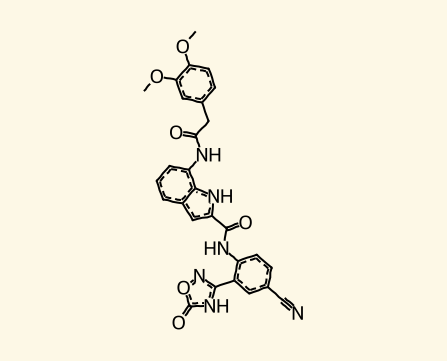 COc1ccc(CC(=O)Nc2cccc3cc(C(=O)Nc4ccc(C#N)cc4-c4noc(=O)[nH]4)[nH]c23)cc1OC